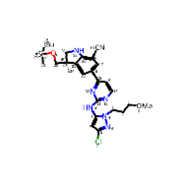 COCCCn1nc(Cl)cc1Nc1nccc(-c2cc(C#N)c3c(c2)[C@@](C)(CO[Si](C)(C)C(C)(C)C)CN3)n1